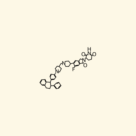 O=C1CCC(N2Cc3cc(C4CCN(CC5CCN(c6ccc(C7c8ccccc8CCC7c7ccccc7)cc6)CC5)CC4)c(F)cc3C2=O)C(=O)N1